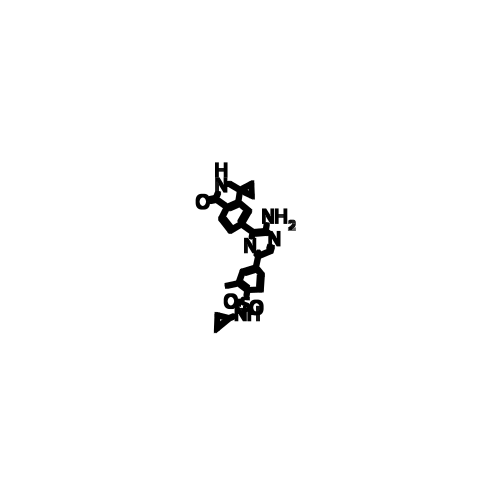 Cc1cc(-c2cnc(N)c(-c3ccc4c(c3)C3(CC3)CNC4=O)n2)ccc1S(=O)(=O)NC1CC1